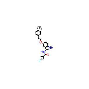 O=C(Nc1c[nH]c2ccc(OCCc3ccc(C(F)(F)F)cc3)cc12)C1CC(F)C1